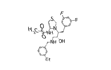 CCc1cccc(CNC[C@@H](O)[C@H](Cc2cc(F)cc(F)c2)N2CSC=C2NS(C)(=O)=O)c1